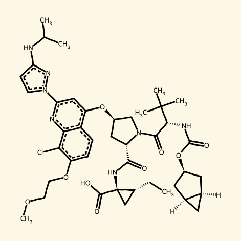 CC[C@@H]1C[C@]1(NC(=O)[C@@H]1C[C@@H](Oc2cc(-n3ccc(NC(C)C)n3)nc3c(Cl)c(OCCOC)ccc23)CN1C(=O)[C@@H](NC(=O)O[C@@H]1C[C@@H]2C[C@@H]2C1)C(C)(C)C)C(=O)O